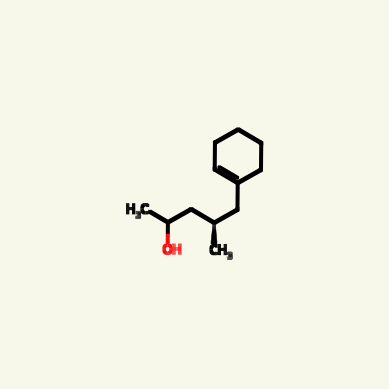 CC(O)C[C@H](C)CC1=CCCCC1